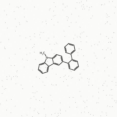 Cn1c2ccccc2c2cc(-c3ccccc3-c3ccccc3)ccc21